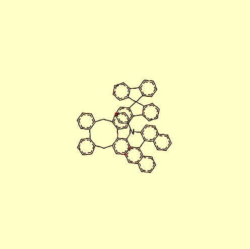 c1ccc2c(c1)Cc1ccccc1-c1c(cccc1N(c1cccc3c1-c1ccccc1C31c3ccccc3-c3ccccc31)c1ccc3ccccc3c1-c1cccc3ccccc13)Cc1ccccc1-2